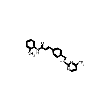 Nc1ccccc1NC(=O)C=Cc1ccc(CNc2nccc(C(F)(F)F)n2)cc1